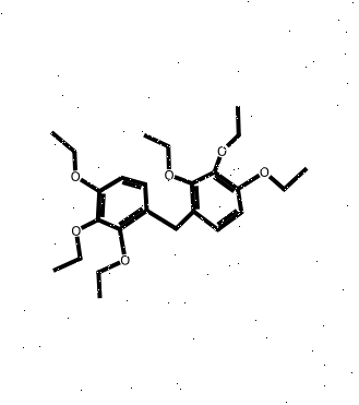 CCOc1ccc(Cc2ccc(OCC)c(OCC)c2OCC)c(OCC)c1OCC